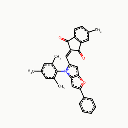 Cc1cc(C)c(-n2c(/C=C3/C(=O)c4ccc(C)cc4C3=O)cc3oc(-c4ccccc4)cc32)c(C)c1